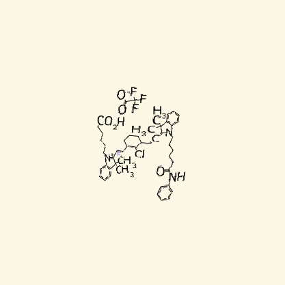 CC1(C)C(=C=CC2CCCC(/C=C/C3=[N+](CCCCCC(=O)O)c4ccccc4C3(C)C)=C2Cl)N(CCCCCC(=O)Nc2ccccc2)c2ccccc21.O=C([O-])C(F)(F)F